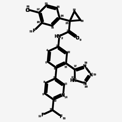 O=C(Nc1ccc(-c2ccc(C(F)F)nc2)c(-c2nnn[nH]2)c1)C1(c2ccc(Cl)c(F)c2)CC1